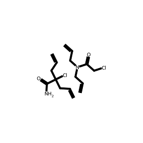 C=CCC(Cl)(CC=C)C(N)=O.C=CCN(CC=C)C(=O)CCl